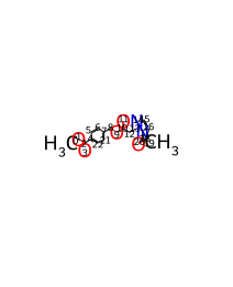 COC(=O)c1ccc(COC(=O)Cc2nccn2C(C)=O)cc1